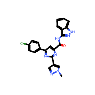 Cn1cc(-c2nc(C(=O)Nc3n[nH]c4ccccc34)cc(-c3ccc(Cl)cc3)n2)cn1